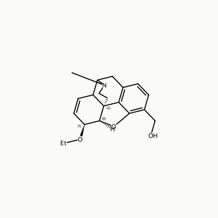 CCO[C@H]1C=CC2C3Cc4ccc(CO)c5c4[C@@]2(CCN3C)[C@H]1O5